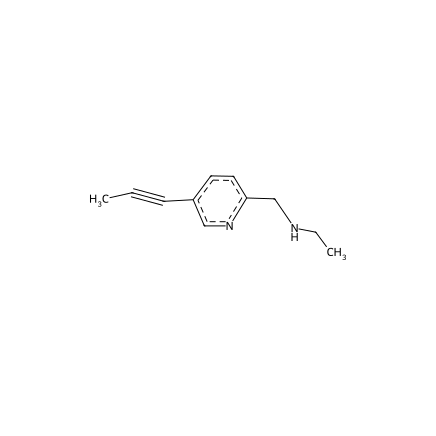 CC#Cc1ccc(CNCC)nc1